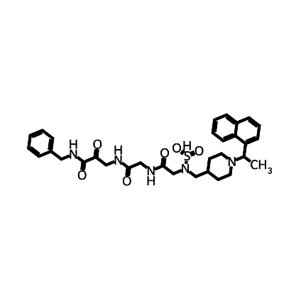 CC(c1cccc2ccccc12)N1CCC(CN(CC(=O)NCC(=O)NCC(=O)C(=O)NCc2ccccc2)[SH](=O)=O)CC1